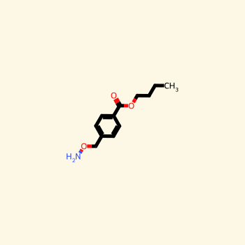 CCCCOC(=O)c1ccc(CON)cc1